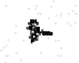 COCCn1ncc(CN(C)CCN)c1-c1ccc(F)cc1